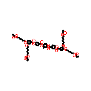 C=CC(=O)OCCCCCCOc1ccc(C(=O)Oc2ccc(C(=O)Oc3ccc(OC(=O)c4ccc(OC(=O)c5ccc(OCCCCCCOC(=O)C=C)c(OCCCCCCOC(=O)C=C)c5)cc4)c(C)c3)cc2)cc1OCCCCCCOC(=O)C=C